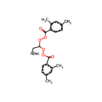 [CH2]CCCCCCCCCC[C](OOC(=O)c1ccc(C)cc1C)OOC(=O)c1ccc(C)cc1C